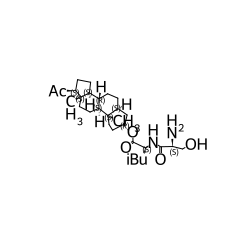 CCC(C)[C@H](NC(=O)[C@@H](N)CO)C(=O)O[C@@H]1CC[C@@]2(C)[C@@H](CC[C@@H]3[C@@H]2CC[C@]2(C)[C@@H](C(C)=O)CC[C@@H]32)C1